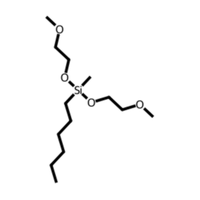 CCCCCC[Si](C)(OCCOC)OCCOC